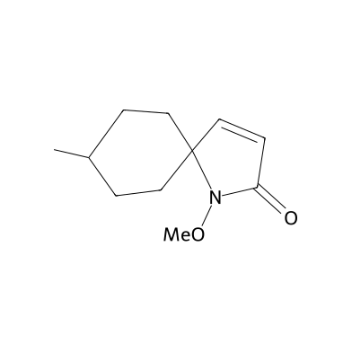 CON1C(=O)C=CC12CCC(C)CC2